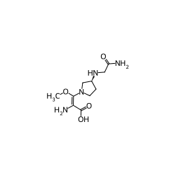 CO/C(=C(\N)C(=O)O)N1CC[C@H](NCC(N)=O)C1